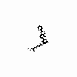 CC1c2cnc(-c3ccccn3)nc2CCN1c1cc(OCCCOCC(N)=O)cc(F)n1